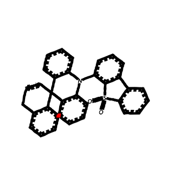 O=S1(=O)c2ccccc2-c2cccc(N3c4ccccc4C4(c5ccccc5Cc5ccccc54)c4ccccc43)c21